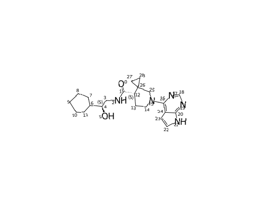 O=C(NC[C@@H](O)C1CCCCC1)[C@H]1CCN(c2ncnc3[nH]ccc23)CC12CC2